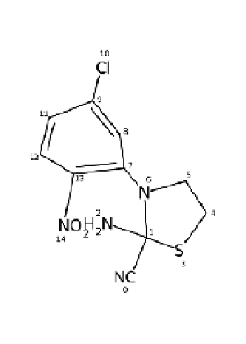 N#CC1(N)SCCN1c1cc(Cl)ccc1[N+](=O)[O-]